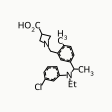 CCN(c1cccc(Cl)c1)C(C)c1ccc(C)c(CN2CC(C(=O)O)C2)c1